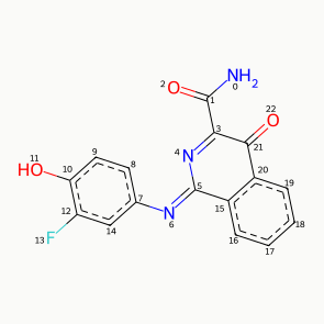 NC(=O)C1=NC(=Nc2ccc(O)c(F)c2)c2ccccc2C1=O